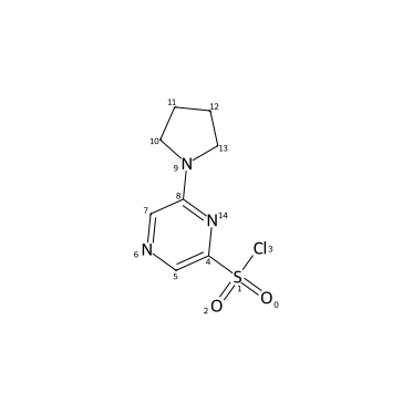 O=S(=O)(Cl)c1cncc(N2CCCC2)n1